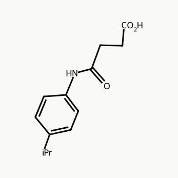 CC(C)c1ccc(NC(=O)CCC(=O)O)cc1